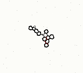 c1ccc(-c2ccc(N(c3ccc4cc5c(cc4c3)oc3ccccc35)c3ccccc3-c3cc4ccccc4c4ccccc34)cc2)cc1